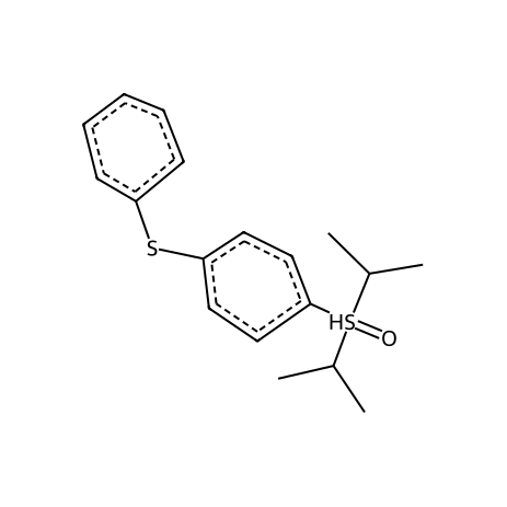 CC(C)[SH](=O)(c1ccc(Sc2ccccc2)cc1)C(C)C